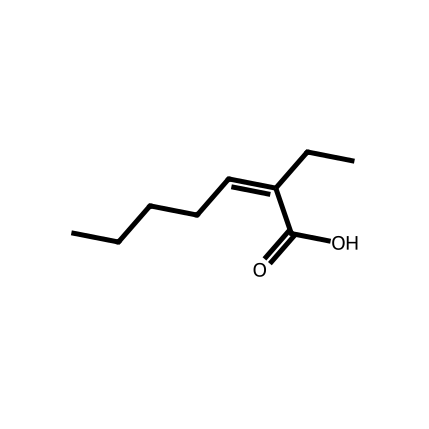 CCCC/C=C(/CC)C(=O)O